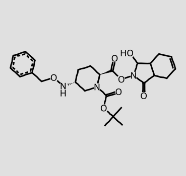 CC(C)(C)OC(=O)N1C[C@H](NOCc2ccccc2)CC[C@H]1C(=O)ON1C(=O)C2CC=CCC2C1O